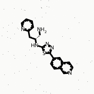 NC[C@@H](Cc1ccccn1)Nc1nnc(-c2ccc3cnccc3c2)s1